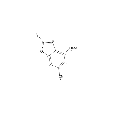 COc1cc(C#N)cc2oc(F)cc12